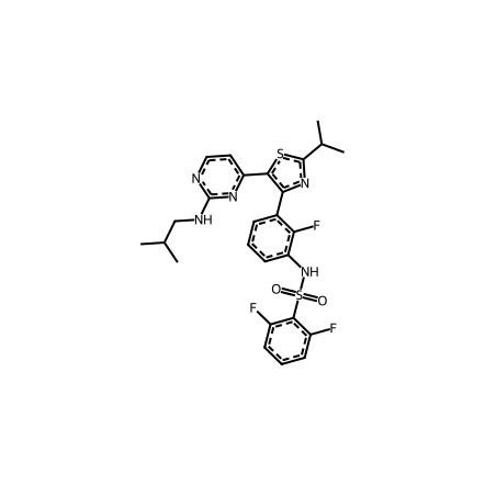 CC(C)CNc1nccc(-c2sc(C(C)C)nc2-c2cccc(NS(=O)(=O)c3c(F)cccc3F)c2F)n1